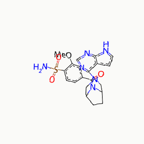 COc1cc(C(=O)N2C3CCC2CN(c2ncnc4[nH]ccc24)C3)ccc1S(N)(=O)=O